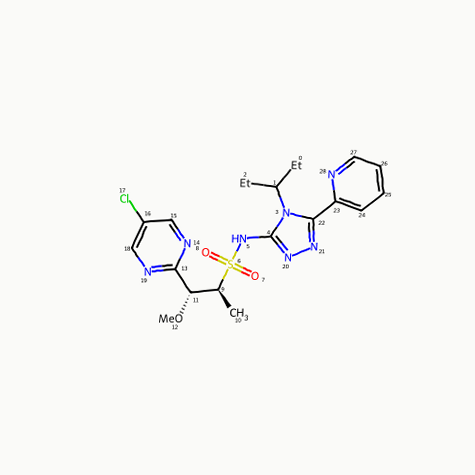 CCC(CC)n1c(NS(=O)(=O)[C@@H](C)[C@H](OC)c2ncc(Cl)cn2)nnc1-c1ccccn1